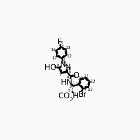 O=C(O)C[C@H](NC(=O)c1cc(O)n(-c2ccc(F)cc2)n1)c1ccccc1Br